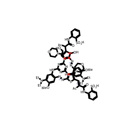 CCN(CC)c1cc(Nc2nc(Nc3cc(N(CC)CC)c(OC)cc3/N=N/c3nc(N4CCOCC4)c(C(C(C)=O)C(=O)Nc4ccccc4S(=O)(=O)O)s3)nc(N(CCO)CCO)n2)c(/N=N/c2nc(N3CCOCC3)c(/C=C(\C(C)=O)C(=O)Nc3ccccc3S(=O)(=O)O)s2)cc1OC